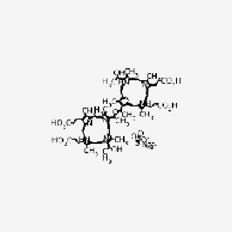 CC1=C(CCC(=O)O)c2cc3[nH]c(cc4nc(cc5[nH]c(cc1n2)c(C)c5C(C)OC(C)C1=C(C)c2cc5[nH]c(cc6nc(cc7[nH]c(cc1n2)c(C)c7CCC(=O)O)C(CCC(=O)O)=C6C)c(C)c5C(C)O)C(C)=C4C(C)O)c(C)c3CCC(=O)O.O=S(=O)([O-])[O-].[Na+].[Na+]